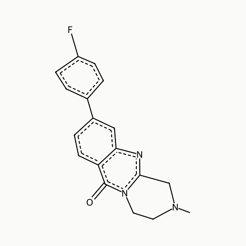 CN1CCn2c(nc3cc(-c4ccc(F)cc4)ccc3c2=O)C1